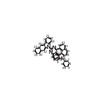 c1ccc(-n2c3ccccc3c3c4c(-c5nc(-n6c7ccccc7c7cc8ccccc8cc76)nc6ccccc56)cccc4ccc32)cc1